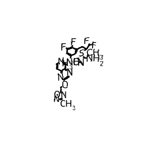 C/N=C(/N)S[C@](C)(Cc1cc(Nc2nccc3nc(OCc4nc(C)no4)cnc23)cc(F)c1F)C(F)F